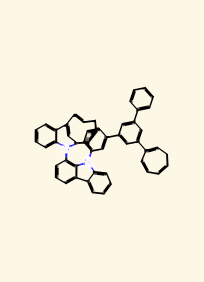 C1=CCC=C(c2cc(-c3ccccc3)cc(-c3cccc(-n4c5ccccc5c5cccc(N6c7ccccc7C7=CC6/C=C\C/C=C/7)c54)c3)c2)C=C1